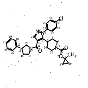 CC1(OC(=O)N2CCC(c3c(C(=O)N4CC[C@@H](c5ccccc5)C4)cnn3-c3ccc(Cl)cc3)CC2)CC1